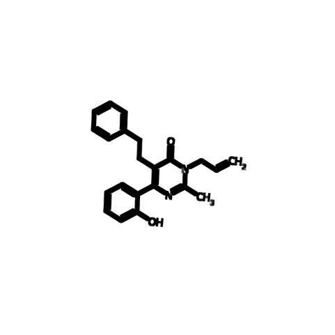 C=CCn1c(C)nc(-c2ccccc2O)c(CCc2ccccc2)c1=O